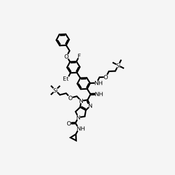 CCc1cc(OCc2ccccc2)c(F)cc1-c1ccc(C(=N)c2nc3c(n2COCC[Si](C)(C)C)CN(C(=O)NC2CC2)C3)c(NCOCC[Si](C)(C)C)c1